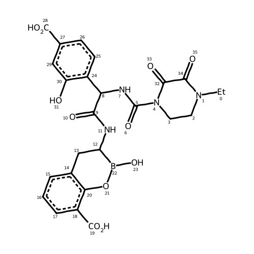 CCN1CCN(C(=O)NC(C(=O)NC2Cc3cccc(C(=O)O)c3OB2O)c2ccc(C(=O)O)cc2O)C(=O)C1=O